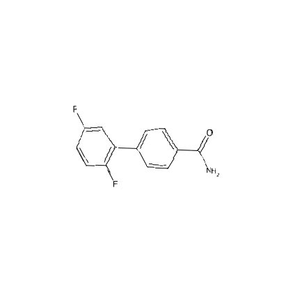 NC(=O)c1ccc(-c2cc(F)ccc2F)cc1